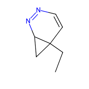 CCC12C=CN=NC1C2